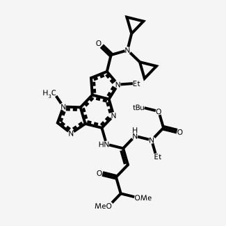 CCN(NC(=CC(=O)C(OC)OC)Nc1nc2c(cc(C(=O)N(C3CC3)C3CC3)n2CC)c2c1ncn2C)C(=O)OC(C)(C)C